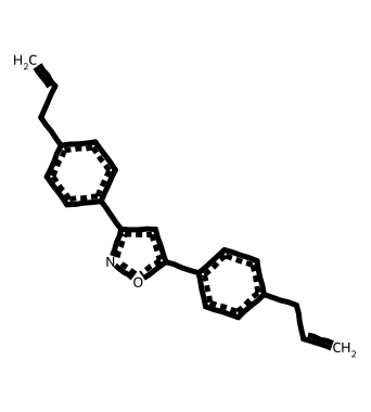 C=CCc1ccc(-c2cc(-c3ccc(CC=C)cc3)on2)cc1